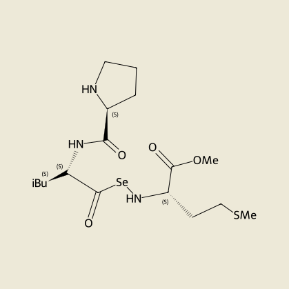 CC[C@H](C)[C@H](NC(=O)[C@@H]1CCCN1)C(=O)[Se]N[C@@H](CCSC)C(=O)OC